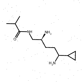 CC(C)C(=O)NC[C@@H](N)CCC(N)C1CC1